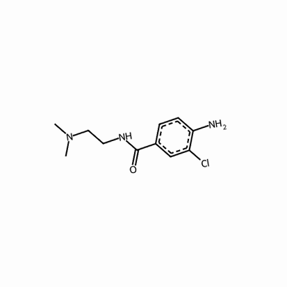 CN(C)CCNC(=O)c1ccc(N)c(Cl)c1